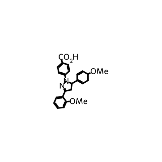 COc1ccccc1C1=NN(c2ccc(C(=O)O)cc2)C(C2=CCC(OC)C=C2)C1